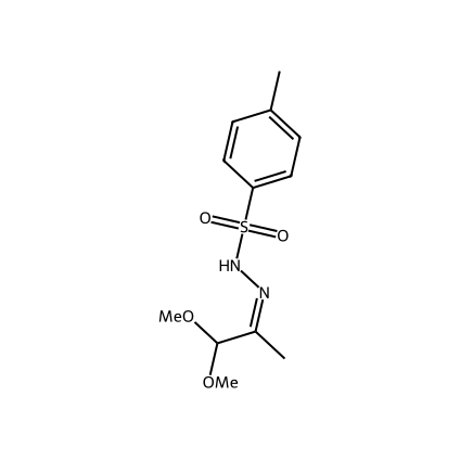 COC(OC)/C(C)=N\NS(=O)(=O)c1ccc(C)cc1